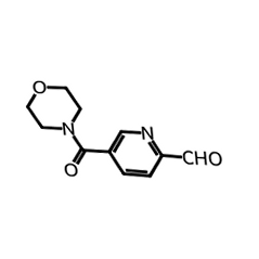 O=Cc1ccc(C(=O)N2CCOCC2)cn1